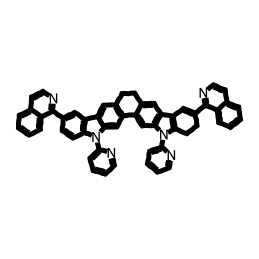 C1=C(c2nccc3ccccc23)CCc2c1c1cc3c(cc1n2-c1ccccn1)-c1cc2c(cc1CC3)c1cc(-c3nccc4ccccc34)ccc1n2-c1ccccn1